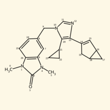 Cn1c(=O)n(C)c2cc(Cn3cnc(C4=CC5CC5C4)c3C3CC3)ccc21